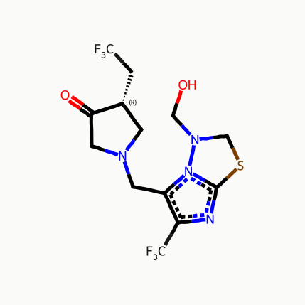 O=C1CN(Cc2c(C(F)(F)F)nc3n2N(CO)CS3)C[C@H]1CC(F)(F)F